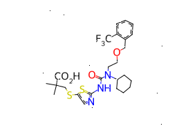 CC(C)(CSc1cnc(NC(=O)N(CCOCc2ccccc2C(F)(F)F)C2CCCCC2)s1)C(=O)O